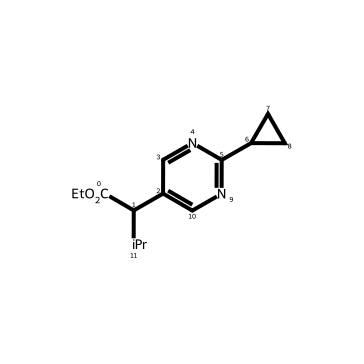 CCOC(=O)C(c1cnc(C2CC2)nc1)C(C)C